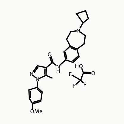 COc1ccc(-n2ncc(C(=O)Nc3ccc4c(c3)CCN(C3CCC3)CC4)c2C)cc1.O=C(O)C(F)(F)F